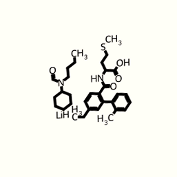 CCCCN(C=O)C1CCCCC1.CCc1ccc(C(=O)NC(CCSC)C(=O)O)c(-c2ccccc2C)c1.[LiH]